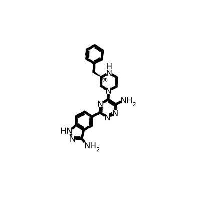 Nc1nnc(-c2ccc3[nH]nc(N)c3c2)nc1N1CCN[C@H](Cc2ccccc2)C1